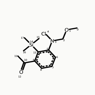 COCN(Cl)c1cccc(C(C)=O)c1[Si](C)(C)C